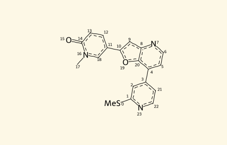 CSc1cc(-c2ccnc3cc(-c4ccc(=O)n(C)c4)oc23)ccn1